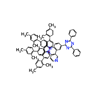 Cc1ccc(-c2ccc3c(c2)c2cc(-c4ccc(C)cc4C)ccc2n3-c2ccncc2-c2cc(-c3nc(-c4ccccc4)nc(-c4ccccc4)n3)ccc2-n2c3ccc(-c4ccc(C)cc4C)cc3c3cc(-c4ccc(C)cc4C)ccc32)c(C)c1